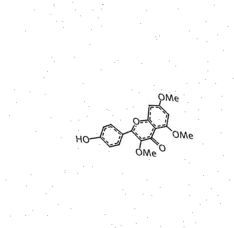 COc1cc(OC)c2c(=O)c(OC)c(-c3ccc(O)cc3)oc2c1